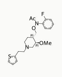 CO[C@H]1CN(CCc2cccs2)CC[C@@H]1CON(C(C)=O)c1ccccc1F